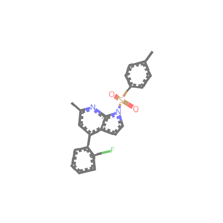 Cc1ccc(S(=O)(=O)n2ccc3c(-c4ccccc4F)cc(C)nc32)cc1